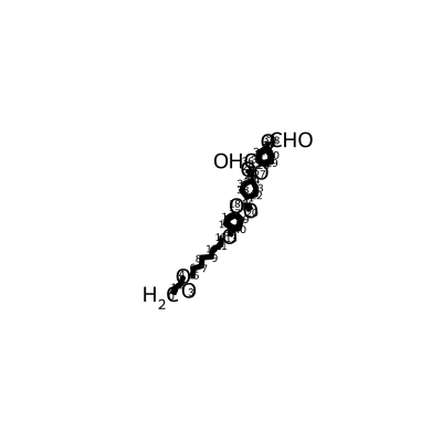 C=CC(=O)OCCCCCCCCOc1ccc(OC(=O)[C@H]2CC[C@H](C(=O)Oc3ccc(OC=O)cc3C=O)CC2)cc1